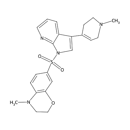 CN1CC=C(c2cn(S(=O)(=O)c3ccc4c(c3)OCCN4C)c3ncccc23)CC1